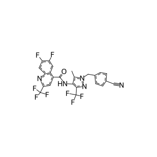 Cc1c(NC(=O)c2cc(C(F)(F)F)nc3cc(F)c(F)cc23)c(C(F)(F)F)nn1Cc1ccc(C#N)cc1